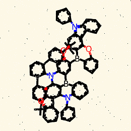 CC(C)(C)c1ccc(-c2cccc(-c3ccc(C(C)(C)C)cc3)c2N2c3cc4c(cc3B3c5ccccc5N(c5ccccc5)c5c3c2cc2oc3ccccc3c52)B2c3ccccc3Oc3c2c(cc2c3c3ccccc3n2-c2ccccc2)O4)cc1